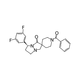 O=C(c1ccccc1)N1CCC2(CC1)CN1CC[C@@H](c3cc(F)cc(F)c3)N1C2=O